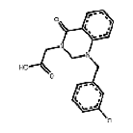 O=C(O)CN1CN(Cc2cccc(Cl)c2)c2ccccc2C1=O